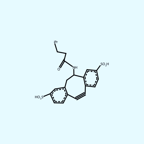 CC(C)CCC(=O)NC1Cc2cc(S(=O)(=O)O)ccc2C#Cc2ccc(S(=O)(=O)O)cc21